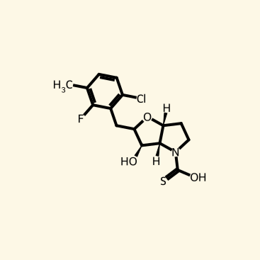 Cc1ccc(Cl)c(CC2O[C@@H]3CCN(C(O)=S)[C@@H]3[C@H]2O)c1F